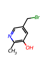 Cc1ncc(CBr)cc1O